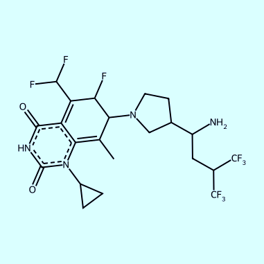 CC1=c2c(c(=O)[nH]c(=O)n2C2CC2)=C(C(F)F)C(F)C1N1CCC(C(N)CC(C(F)(F)F)C(F)(F)F)C1